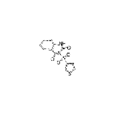 O=c1[nH]c2ccccc2c(=O)n1S(=O)(=O)c1ccsc1